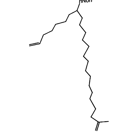 C=CCCCCCC(CCCCCCCCC)CCCCCCCCCCCCCCC(=C)C